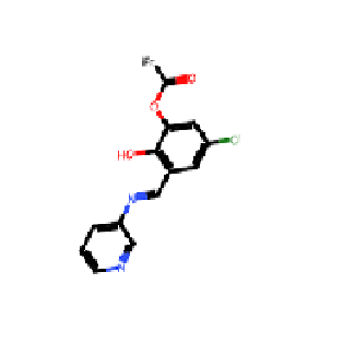 CC(C)C(=O)Oc1cc(Cl)cc(C=Nc2cccnc2)c1O